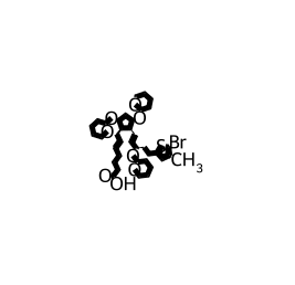 Cc1cc(CC[C@@H](C=C[C@@H]2[C@@H](CC=CCCCC(=O)O)[C@@H](OC3CCCCO3)C[C@H]2OC2CCCCO2)OC2CCCCO2)sc1Br